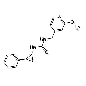 CC(C)Oc1cc(CNC(=O)N[C@@H]2C[C@H]2c2ccccc2)ccn1